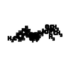 CCC(C)(C)C(=O)OCCCC(F)(F)C(F)(F)S(=O)(=O)ON=C(c1ccc(C)cc1)C(F)(F)F